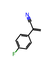 C=C(C#N)c1ccc(F)cc1